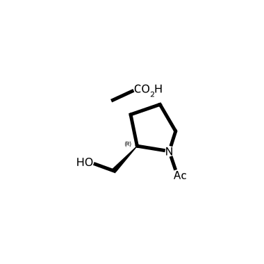 CC(=O)N1CCC[C@@H]1CO.CC(=O)O